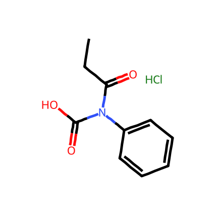 CCC(=O)N(C(=O)O)c1ccccc1.Cl